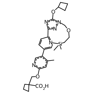 C\C=C(/C=C\C1=N\[Si](C)(C)CCOCn2nc1nc2OC1CCC1)c1cnc(OCC2(C(=O)O)CCC2)cc1C